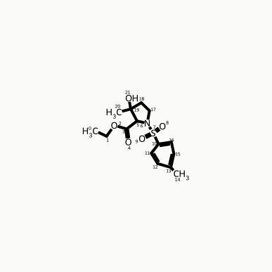 CCOC(=O)C1N(S(=O)(=O)c2ccc(C)cc2)CCC1(C)O